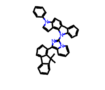 CC1(C)c2ccccc2-c2cccc(-c3nc(-n4c5ccccc5c5ccc6c(ccn6-c6ccccc6)c54)n4ccccc34)c21